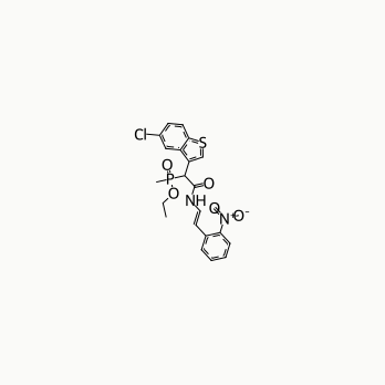 CCOP(C)(=O)C(C(=O)N/C=C/c1ccccc1[N+](=O)[O-])c1csc2ccc(Cl)cc12